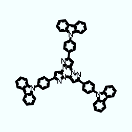 c1ccc2c(c1)c1ccccc1n2-c1ccc(-c2cc3n(n2)c2cc(-c4ccc(-n5c6ccccc6c6ccccc65)cc4)nn2c2cc(-c4ccc(-n5c6ccccc6c6ccccc65)cc4)nn32)cc1